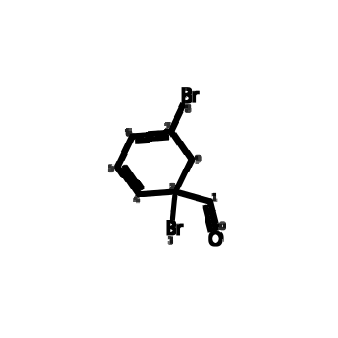 O=CC1(Br)C=CC=C(Br)C1